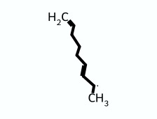 C=CCCCC=C[CH]C